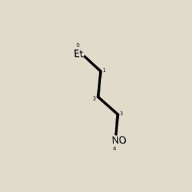 [CH2]CCCCN=O